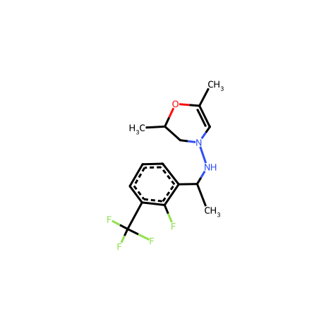 CC1=CN(NC(C)c2cccc(C(F)(F)F)c2F)CC(C)O1